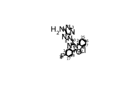 Nc1ncnc2c1ncn2Cc1nc2cc(F)ccc2c(=O)n1-c1ccccc1Cl